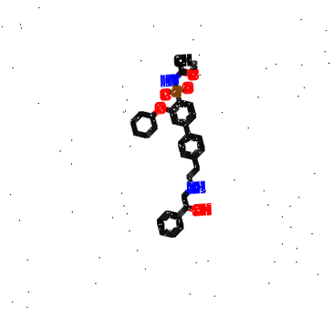 CC(=O)NS(=O)(=O)c1ccc(-c2ccc(CCNC[C@@H](O)c3ccccc3)cc2)cc1OC1CCCCC1